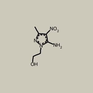 Cc1nn(CCO)c(N)c1[N+](=O)[O-]